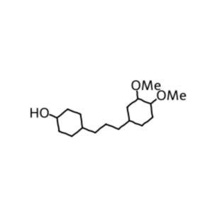 COC1CCC(CCCC2CCC(O)CC2)CC1OC